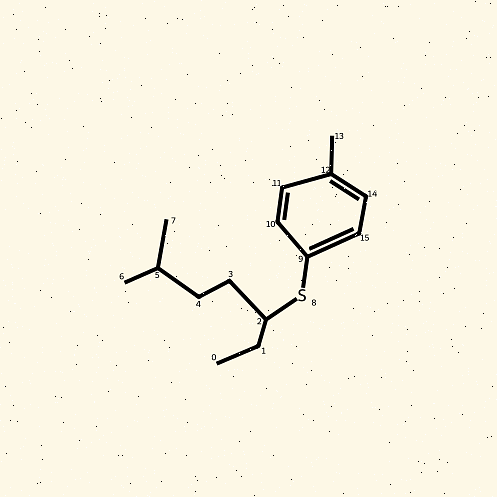 CCC(CCC(C)C)Sc1ccc(C)cc1